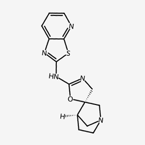 c1cnc2sc(NC3=NC[C@@]4(CN5CC[C@@H]4C5)O3)nc2c1